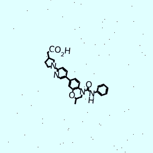 CC1CN(C(=O)Nc2ccccc2)c2ccc(-c3ccc(N4CCC(CC(=O)O)C4)nc3)cc2O1